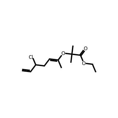 C=CC(Cl)C/C=C(\C)OC(C)(C)C(=O)OCC